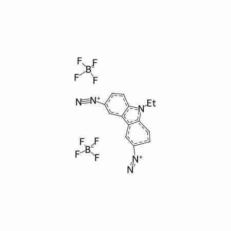 CCn1c2ccc([N+]#N)cc2c2cc([N+]#N)ccc21.F[B-](F)(F)F.F[B-](F)(F)F